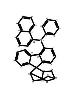 c1ccc(N(c2cccc3c2-c2ccccc2C32C3CC4CC(C3)C2C4)c2cccc3ccccc23)cc1